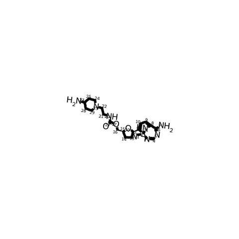 N#CS12N=CN=C(N)C(=CC=C1[C@H]1CC[C@@H](COC(=O)NCCN3CCC(N)CC3)O1)N2